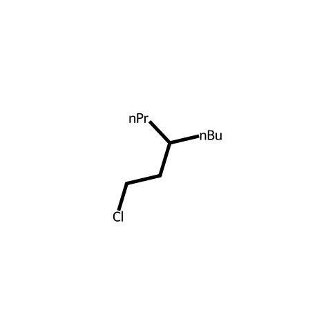 CCCCC(CCC)CCCl